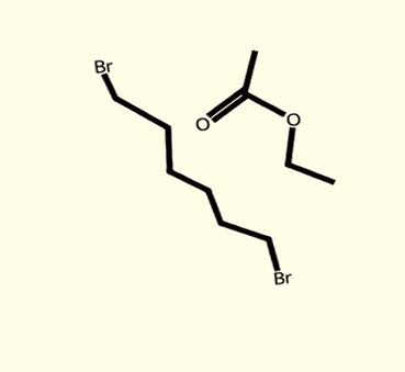 BrCCCCCCBr.CCOC(C)=O